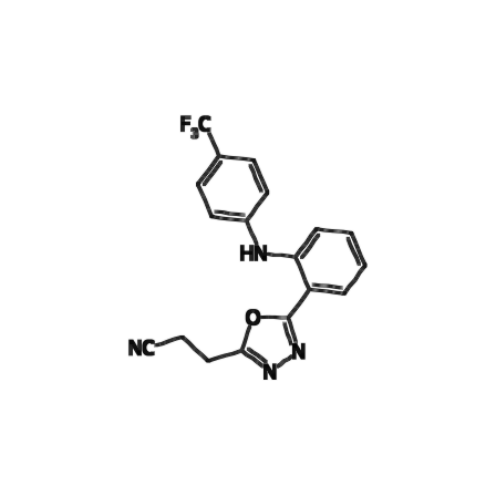 N#CCCc1nnc(-c2ccccc2Nc2ccc(C(F)(F)F)cc2)o1